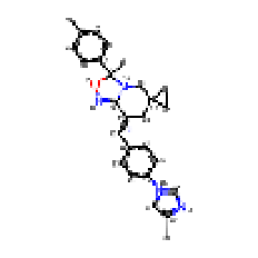 Cc1ccc(C2(C)ON=C3/C(=C/c4ccc(-n5cnc(C)c5)cc4)CC4(CC4)CN32)cc1